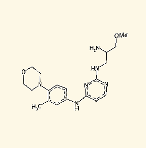 COCC(N)CNc1nccc(Nc2ccc(N3CCOCC3)c(C)c2)n1